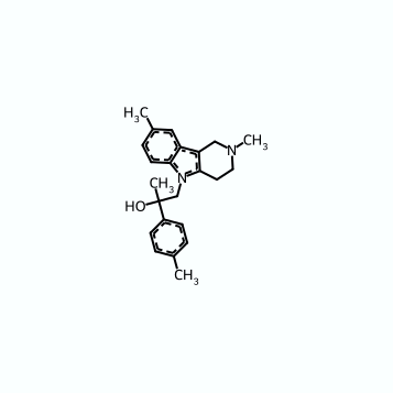 Cc1ccc(C(C)(O)Cn2c3c(c4cc(C)ccc42)CN(C)CC3)cc1